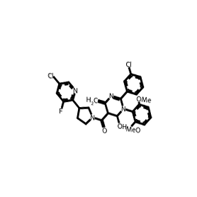 C=C1N=C(c2cccc(Cl)c2)N(c2c(OC)cccc2OC)C(O)C1C(=O)N1CCC(c2ncc(Cl)cc2F)C1